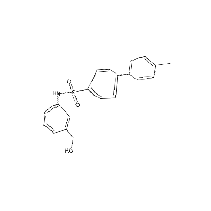 Cc1ccc(-c2ccc(S(=O)(=O)Nc3cccc(CO)c3)cc2)cc1